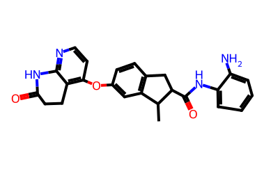 CC1c2cc(Oc3ccnc4c3CCC(=O)N4)ccc2CC1C(=O)Nc1ccccc1N